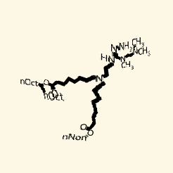 CCCCCCCCCOC(=O)CCCCCCCN(CCCCCCCC(=O)OC(CCCCCCCC)CCCCCCCC)CCCN/C(=N/N)N(C)CCN(C)C